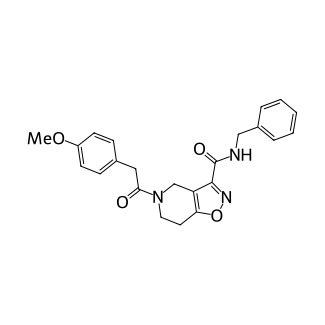 COc1ccc(CC(=O)N2CCc3onc(C(=O)NCc4ccccc4)c3C2)cc1